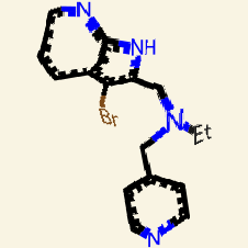 CCN(Cc1ccncc1)Cc1[nH]c2ncccc2c1Br